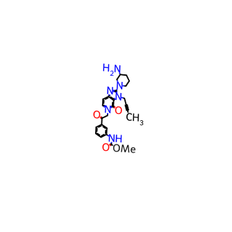 CC#CCn1c(N2CCCC(N)C2)nc2ccn(CC(=O)c3cccc(NC(=O)OC)c3)c(=O)c21